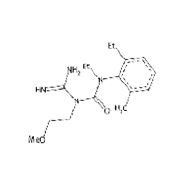 CCc1cccc(C)c1N(CC)C(=O)N(CCOC)C(=N)N